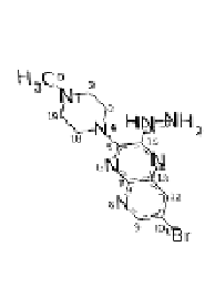 CN1CCN(c2nc3ncc(Br)cc3nc2NN)CC1